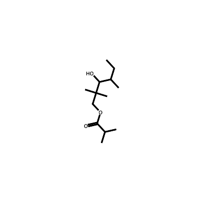 CCC(C)C(O)C(C)(C)COC(=O)C(C)C